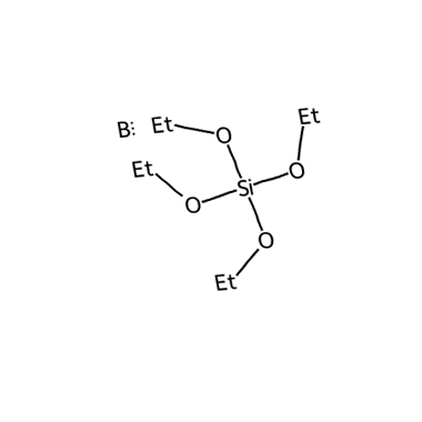 CCO[Si](OCC)(OCC)OCC.[B]